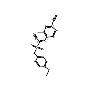 COc1ccc(CS(=O)(=O)C(C#N)=Cc2ccc(C#N)cc2F)cc1